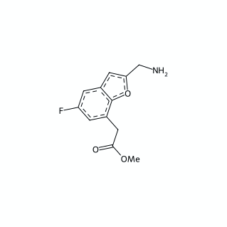 COC(=O)Cc1cc(F)cc2cc(CN)oc12